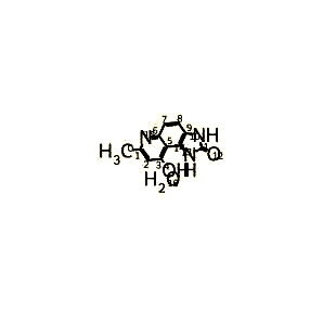 Cc1cc(O)c2c(ccc3[nH]c(=O)[nH]c32)n1.O